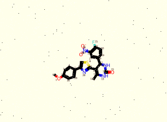 COc1ccc(-c2csc(C3=C(C)NC(=O)NC3c3ccc(F)c([N+](=O)[O-])c3)n2)cc1